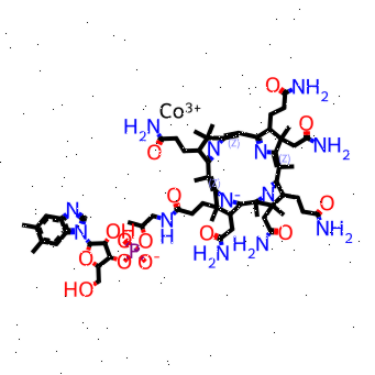 C/C1=C2N=C(/C=C3N=C(/C(C)=C4\[N-]C(C(CC(N)=O)C4(C)CCC(=O)NCC(C)OP(=O)([O-])OC4C(CO)OC(n5cnc6cc(C)c(C)cc65)C4O)C4(C)N=C1C(CCC(N)=O)C4(C)CC(N)=O)C(CCC(N)=O)C\3(C)C)C(CCC(N)=O)C/2(C)CC(N)=O.[Co+3]